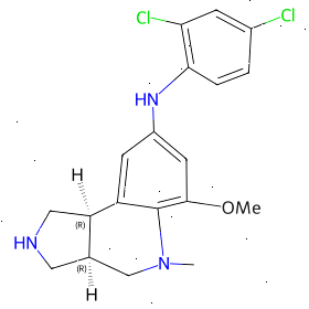 COc1cc(Nc2ccc(Cl)cc2Cl)cc2c1N(C)C[C@H]1CNC[C@@H]21